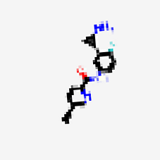 C#Cc1ccc(C(=O)Nc2ccc(F)c([C@H]3C[C@H]3N)c2)nc1